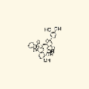 O=c1cc(-c2ccc(O)c(O)c2-c2c(O)cc3oc(-c4ccc(O)c(O)c4)cc(=O)c3c2O)oc2ccccc12